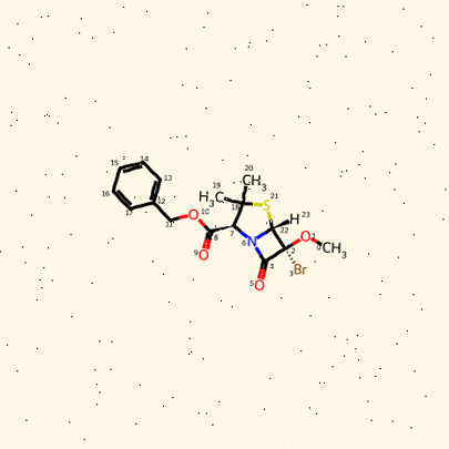 CO[C@@]1(Br)C(=O)N2[C@@H](C(=O)OCc3ccccc3)C(C)(C)S[C@@H]21